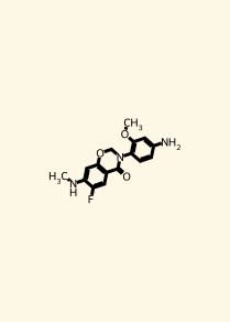 CNc1cc2c(cc1F)C(=O)N(c1ccc(N)cc1OC)CO2